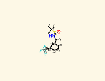 CC(N[S@+]([O-])C(C)(C)C)c1cccc(C(F)(F)F)c1